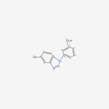 [C-]#[N+]c1ccc2c(c1)ncn2-c1cccc(C(=O)O)c1